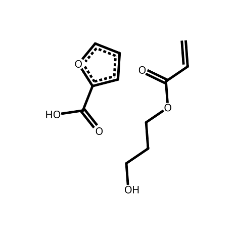 C=CC(=O)OCCCO.O=C(O)c1ccco1